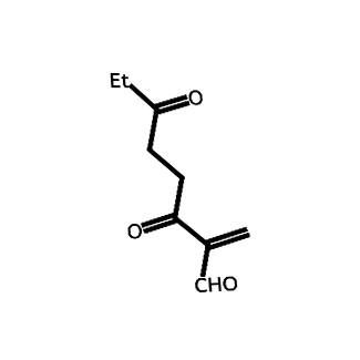 C=C(C=O)C(=O)CCC(=O)CC